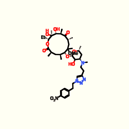 CC[C@H]1OC(=O)[C@H](C)C[C@H](C)[C@@H](O[C@@H]2O[C@H](C)C[C@H](N(C)CCc3cn(CCc4ccc([N+](=O)[O-])cc4)nn3)[C@H]2O)[C@](C)(OC)C[C@@H](C)C(=O)[C@H](C)[C@@H](O)[C@]1(C)O